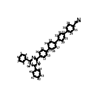 CN1C(c2ccccc2)=NC(c2ccc(-c3ccc(-c4ccc(-c5ccc(C#N)cc5)cc4)cc3)cc2)=NC1c1ccccc1